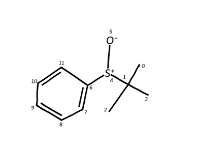 [CH2]C(C)(C)[S+]([O-])c1ccccc1